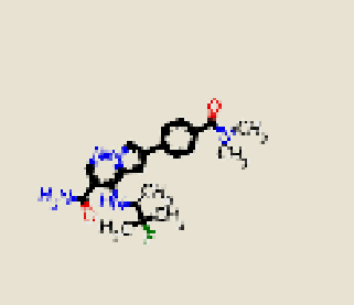 C[C@@H](Nc1c(C(N)=O)cnn2cc(-c3ccc(C(=O)N(C)C)cc3)cc12)C(C)(C)F